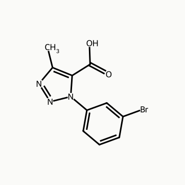 Cc1nnn(-c2cccc(Br)c2)c1C(=O)O